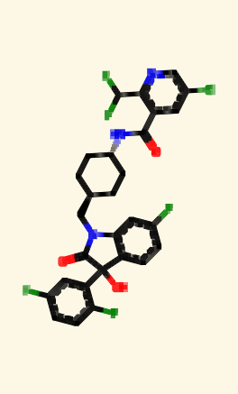 O=C(N[C@H]1CC[C@H](CN2C(=O)C(O)(c3cc(F)ccc3F)c3ccc(F)cc32)CC1)c1cc(Cl)cnc1C(F)F